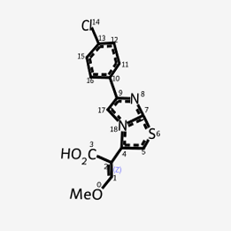 CO/C=C(\C(=O)O)c1csc2nc(-c3ccc(Cl)cc3)cn12